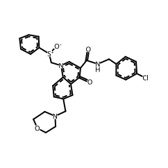 O=C(NCc1ccc(Cl)cc1)c1cn(C[S+]([O-])c2ccccc2)c2ccc(CN3CCOCC3)cc2c1=O